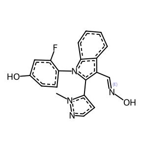 Cn1nccc1-c1c(/C=N/O)c2ccccc2n1-c1ccc(O)cc1F